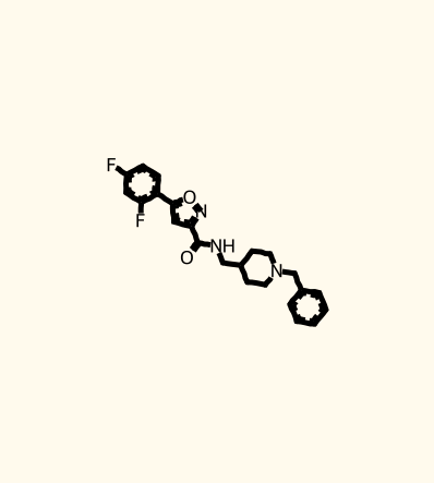 O=C(NCC1CCN(Cc2ccccc2)CC1)c1cc(-c2ccc(F)cc2F)on1